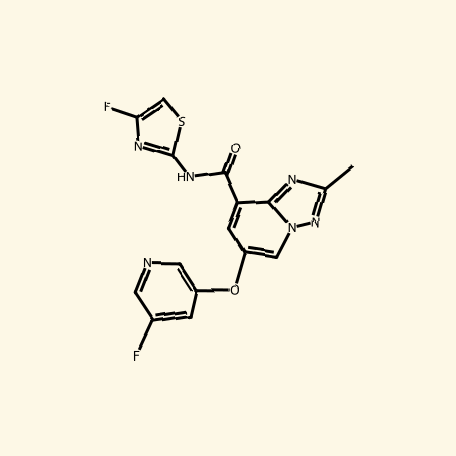 Cc1nc2c(C(=O)Nc3nc(F)cs3)cc(Oc3cncc(F)c3)cn2n1